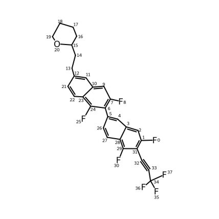 Fc1cc2cc(-c3c(F)cc4cc(CCC5CCCCO5)ccc4c3F)ccc2c(F)c1C#CC(F)(F)F